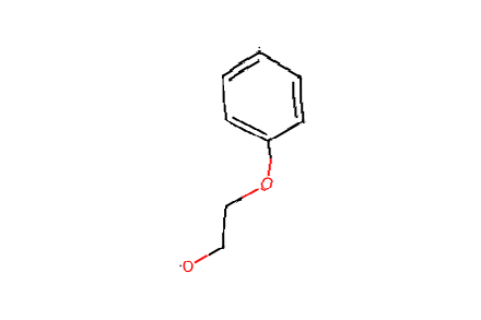 [O]CCOc1cc[c]cc1